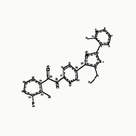 CCc1sc(-c2cccnc2C)nc1-c1ccc(NC(=O)c2cccc(F)c2C)nc1